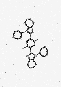 Cc1cc(-c2nc3cccnc3n2-c2ccccc2)c(C)cc1-c1nc2ccccc2n1-c1ccccc1